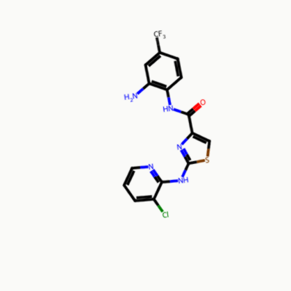 Nc1cc(C(F)(F)F)ccc1NC(=O)c1csc(Nc2ncccc2Cl)n1